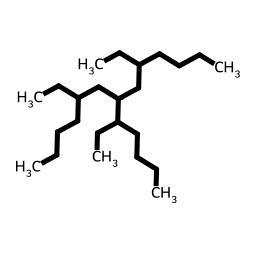 CCCCC(CC)C[C](CC(CC)CCCC)C(CC)CCCC